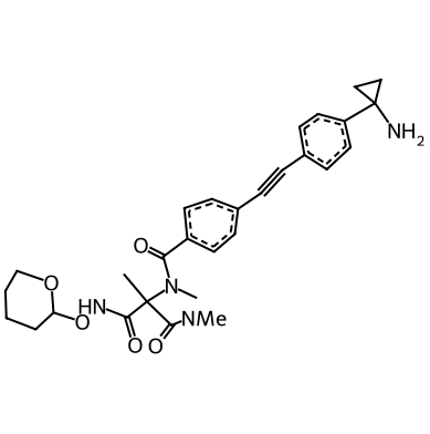 CNC(=O)C(C)(C(=O)NOC1CCCCO1)N(C)C(=O)c1ccc(C#Cc2ccc(C3(N)CC3)cc2)cc1